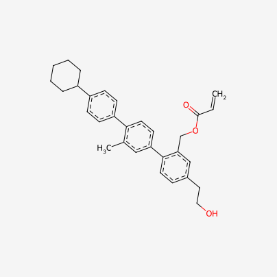 C=CC(=O)OCc1cc(CCO)ccc1-c1ccc(-c2ccc(C3CCCCC3)cc2)c(C)c1